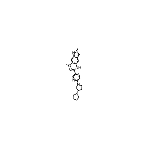 COc1cc2nn(C)cc2cc1NC(=O)c1cnc(N2CCC(N3CCCC3)C2)cn1